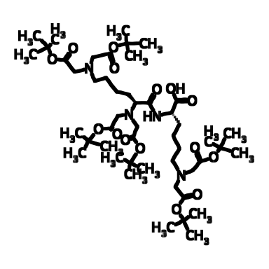 CC(C)(C)OC(=O)CN(CCCC[C@H](NC(=O)[C@H](CCCCN(CC(=O)OC(C)(C)C)CC(=O)OC(C)(C)C)N(CC(=O)OC(C)(C)C)CC(=O)OC(C)(C)C)C(=O)O)CC(=O)OC(C)(C)C